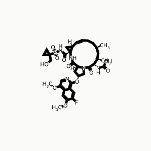 COc1cc2c(OC)cnc(O[C@@H]3C[C@H]4C(=O)N[C@]5(C(=O)NS(=O)(=O)C6(CO)CC6)C[C@H]5C=CCC[C@@H](C)C[C@@H](C)[C@H](NC(=O)O)C(=O)N4C3)c2cc1F